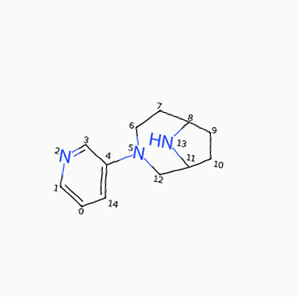 c1cncc(N2CCC3CCC(C2)N3)c1